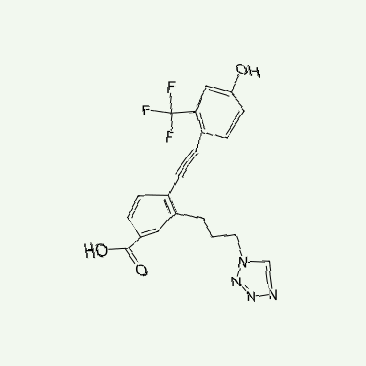 O=C(O)c1ccc(C#Cc2ccc(O)cc2C(F)(F)F)c(CCCn2cnnn2)c1